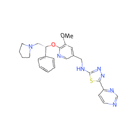 COc1cc(CNc2nnc(-c3ccncn3)s2)cnc1O[C@@H](CN1CCCC1)c1ccccc1